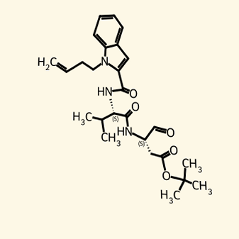 C=CCCn1c(C(=O)N[C@H](C(=O)N[C@H](C=O)CC(=O)OC(C)(C)C)C(C)C)cc2ccccc21